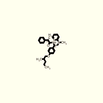 CCCC(C)COc1ccc([C@H](CN(C)c2ccccn2)NC(=O)[C@@H](C)c2ccccc2)cc1